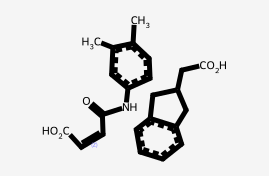 Cc1ccc(NC(=O)/C=C\C(=O)O)cc1C.O=C(O)CC1Cc2ccccc2C1